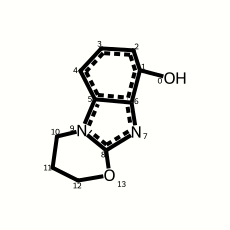 Oc1cccc2c1nc1n2CCCO1